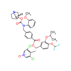 COc1ccccc1N(Cc1ccc(C(=O)O[C@@H](Cc2c(Cl)c[n+]([O-])cc2Cl)c2ccc(OC(F)F)c(OC(C)C)c2)cc1)C(=O)O[C@H]1CN2CCC1CC2